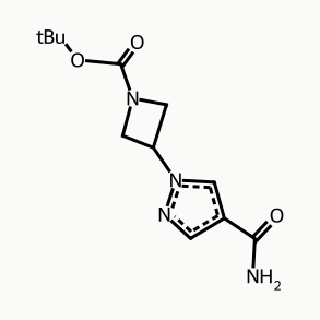 CC(C)(C)OC(=O)N1CC(n2cc(C(N)=O)cn2)C1